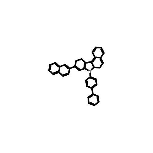 C1=C(c2ccc3ccccc3c2)CCC2=C1N(c1ccc(-c3ccccc3)cc1)C1CC=c3ccccc3=C21